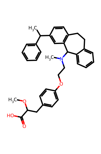 COC(Cc1ccc(OCCN(C)C2c3ccccc3CCc3ccc(C(C)c4ccccc4)cc32)cc1)C(=O)O